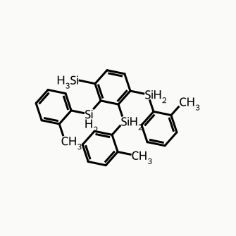 Cc1ccccc1[SiH2]c1ccc([SiH3])c([SiH2]c2ccccc2C)c1[SiH2]c1ccccc1C